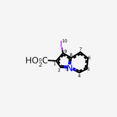 O=C(O)c1cn2ccccc2c1I